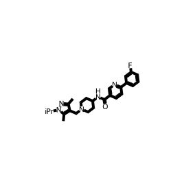 Cc1nn(C(C)C)c(C)c1CN1CCC(NC(=O)c2ccc(-c3cccc(F)c3)nc2)CC1